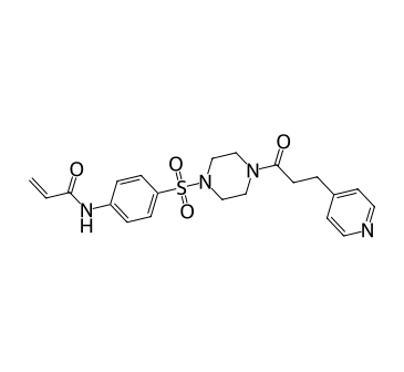 C=CC(=O)Nc1ccc(S(=O)(=O)N2CCN(C(=O)CCc3ccncc3)CC2)cc1